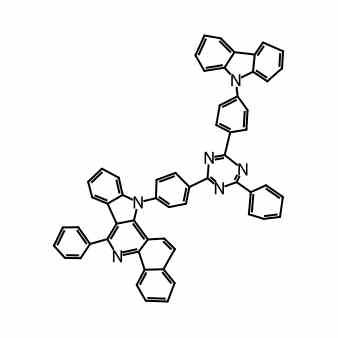 c1ccc(-c2nc(-c3ccc(-n4c5ccccc5c5ccccc54)cc3)nc(-c3ccc(-n4c5ccccc5c5c(-c6ccccc6)nc6c7ccccc7ccc6c54)cc3)n2)cc1